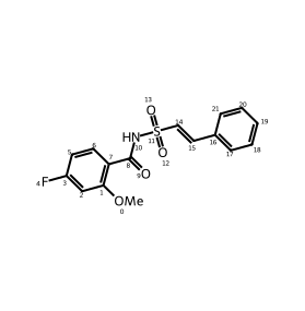 COc1cc(F)ccc1C(=O)NS(=O)(=O)C=Cc1ccccc1